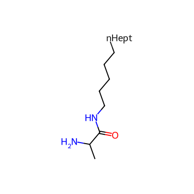 CCCCCCCCCCCCNC(=O)C(C)N